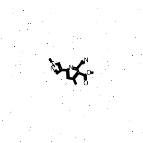 COC(=O)c1c(C)cc(-c2cnn(C)c2)nc1C#N